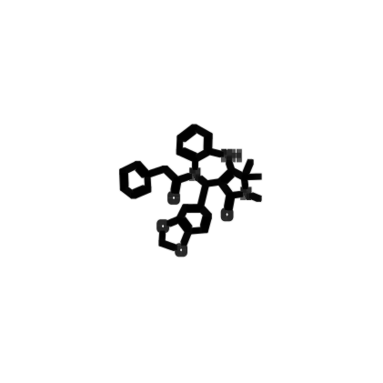 CN1C(=O)C2=C(Nc3ccccc3N(C(=O)Cc3ccccc3)C2c2ccc3c(c2)OCO3)C1(C)C